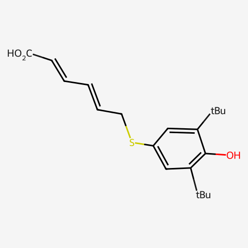 CC(C)(C)c1cc(SC/C=C/C=C/C(=O)O)cc(C(C)(C)C)c1O